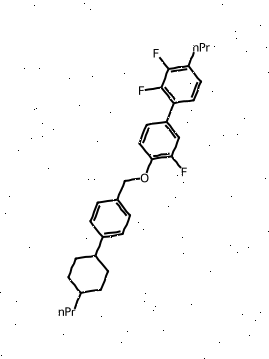 CCCc1ccc(-c2ccc(OCc3ccc(C4CCC(CCC)CC4)cc3)c(F)c2)c(F)c1F